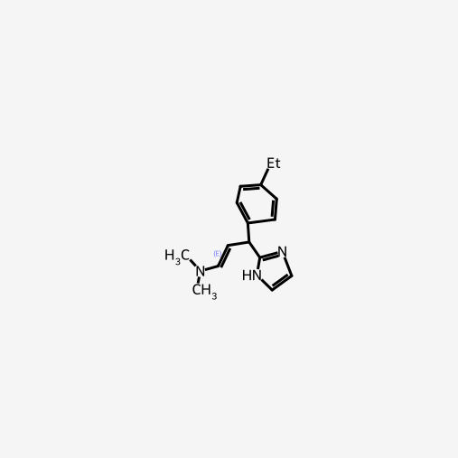 CCc1ccc(C(/C=C/N(C)C)c2ncc[nH]2)cc1